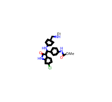 CCNCc1ccc(N/C(=C2\C(=O)Nc3cc(Cl)ccc32)c2ccc(NC(=O)OC)cc2)cc1